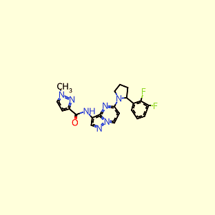 Cn1ccc(C(=O)Nc2cnn3ccc(N4CCCC4c4cccc(F)c4F)nc23)n1